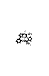 COc1ccccc1-c1csc(N[C@H](C(=O)N2CCC[C@H]2C(N)=O)C(C)(C)C)n1